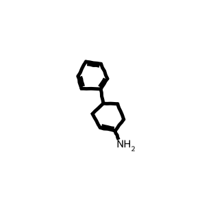 NC1=CCC(c2ccccc2)CC1